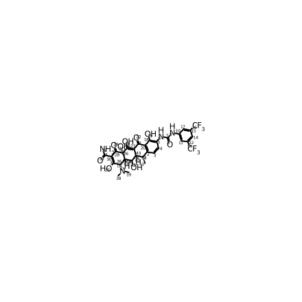 C[C@@H]1c2ccc(NC(=O)Nc3cc(C(F)(F)F)cc(C(F)(F)F)c3)c(O)c2C(=O)C2=C(O)[C@]3(O)C(=O)C(C(N)=O)=C(O)[C@@H](N(C)C)[C@H]3[C@H](O)[C@H]21